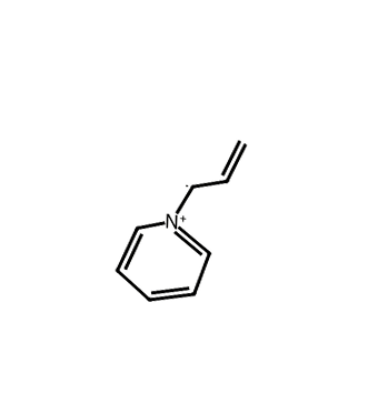 C=C[CH][n+]1ccccc1